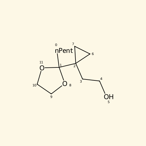 CCCCCC1(C2(CCO)CC2)OCCO1